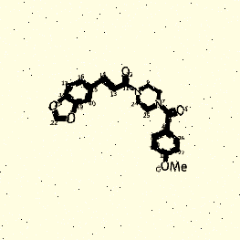 COc1ccc(C(=O)N2CCN(C(=O)C=Cc3ccc4c(c3)OCO4)CC2)cc1